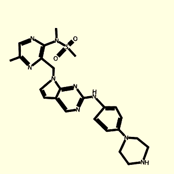 Cc1cnc(N(C)S(C)(=O)=O)c(Cn2ccc3cnc(Nc4ccc(N5CCNCC5)cc4)nc32)n1